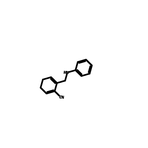 N#CC1=CCCC=C1CNc1ccccc1